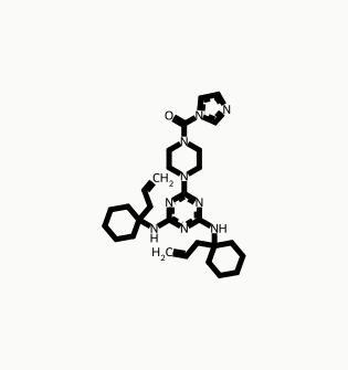 C=CCC1(Nc2nc(NC3(CC=C)CCCCC3)nc(N3CCN(C(=O)n4ccnc4)CC3)n2)CCCCC1